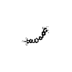 CCN1C(=O)c2ccc(Cc3ccc(C4CCC(Cc5ccc6c(c5)C(=O)N(CC)C6=O)CC4)cc3)cc2C1=O